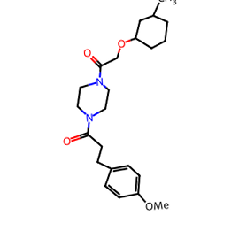 COc1ccc(CCC(=O)N2CCN(C(=O)COC3CCCC(C)C3)CC2)cc1